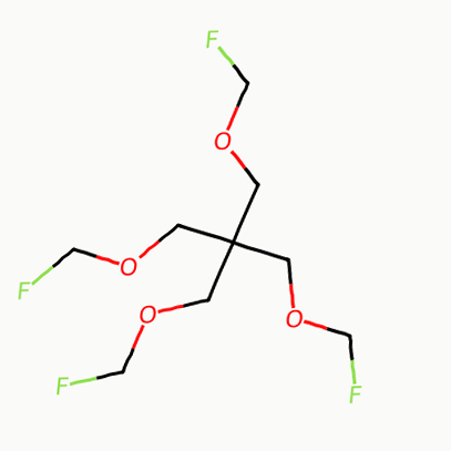 FCOCC(COCF)(COCF)COCF